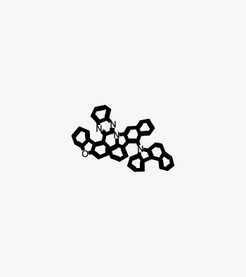 c1ccc2c(-n3c4ccccc4c4c5ccccc5ccc43)c3c4ccccc4n(-c4nc5ccccc5nc4-c4cccc5oc6ccccc6c45)c3cc2c1